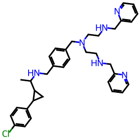 CC(NCc1ccc(CN(CCNCc2ccccn2)CCNCc2ccccn2)cc1)C1CC1c1ccc(Cl)cc1